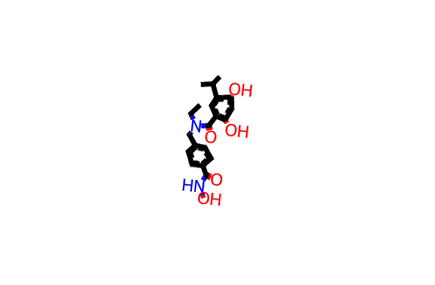 CCN(Cc1ccc(C(=O)NO)cc1)C(=O)c1cc(C(C)C)c(O)cc1O